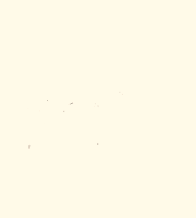 CN1C(=O)C2(CCNCC2)C[C@@H]1CCN1CCN(c2ccc(F)cc2)CC1.Cl.Cl